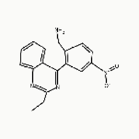 CCc1nc(-c2cc([N+](=O)[O-])ccc2CN)c2ccccc2n1